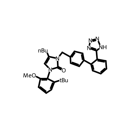 CCCCc1cn(-c2c(OC)cccc2C(C)(C)C)c(=O)n1Cc1ccc(-c2ccccc2-c2nnn[nH]2)cc1